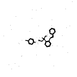 CC1(CC(=O)Nc2ccc(Cl)cc2)C(=O)n2c(cc3ccccc32)-c2ccccc21